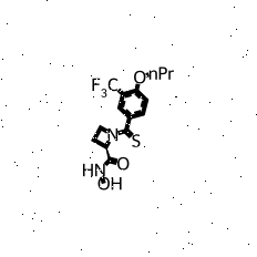 CCCOc1ccc(C(=S)N2CC[C@@H]2C(=O)NO)cc1C(F)(F)F